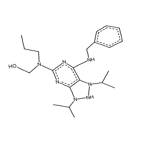 CCCN(CO)c1nc(NCc2ccccc2)c2c(n1)N(C(C)C)NN2C(C)C